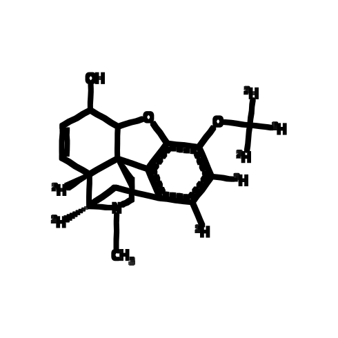 [2H]c1c([2H])c(OC([2H])([2H])[2H])c2c3c1C[C@@]1([2H])N(C)CC[C@@]34C(O2)C(O)C=C[C@]41[2H]